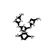 O=[N+]([O-])c1cnc(Sc2nnc(Sc3nnc(S)s3)s2)s1.Oc1ccc(O)cc1